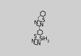 c1ccc2c(c1)Cc1ncc(-c3ccc4c(c3)Sc3nccnc3[SiH2]4)nc1S2